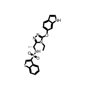 CCn1c(Oc2ccc3cc[nH]c3c2)nnc1[C@@H](C)NS(=O)(=O)c1csc2ccccc12